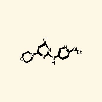 CCOc1ccc(Nc2nc(Cl)cc(N3CCOCC3)n2)cn1